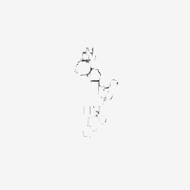 O=C(CC1CCCC1)NC[C@H]1CN(c2ccc3c(c2)CCCc2cnoc2-3)C(=O)O1